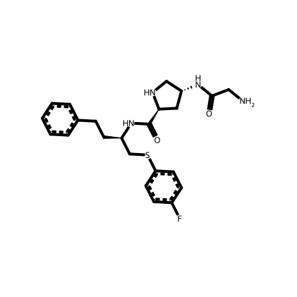 NCC(=O)N[C@H]1CN[C@H](C(=O)N[C@H](CCc2ccccc2)CSc2ccc(F)cc2)C1